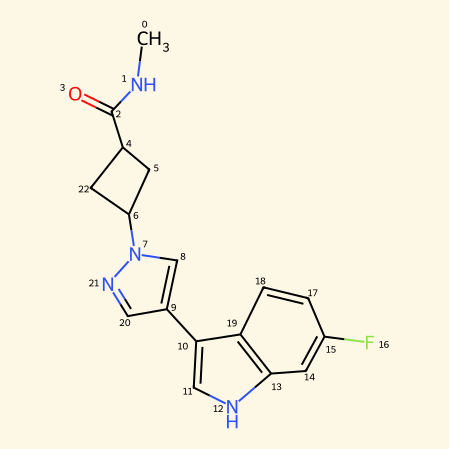 CNC(=O)C1CC(n2cc(-c3c[nH]c4cc(F)ccc34)cn2)C1